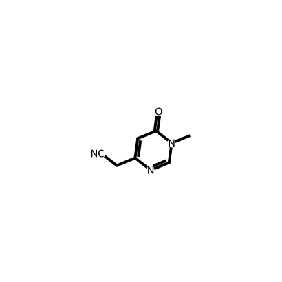 Cn1cnc(CC#N)cc1=O